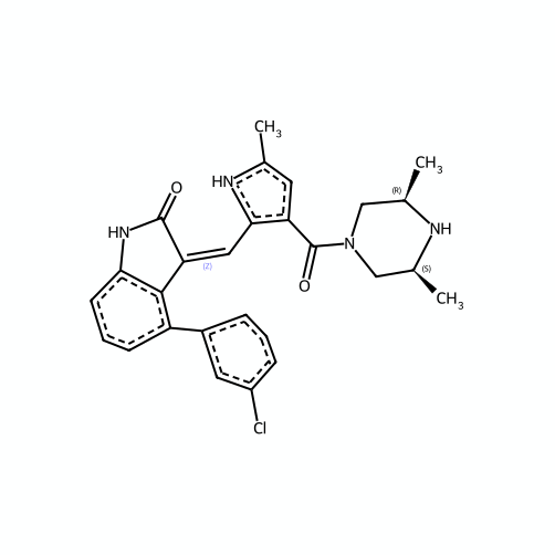 Cc1cc(C(=O)N2C[C@@H](C)N[C@@H](C)C2)c(/C=C2\C(=O)Nc3cccc(-c4cccc(Cl)c4)c32)[nH]1